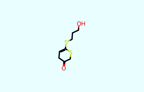 O=C1CC=C(SCCCO)SC1